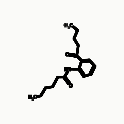 [CH2]CCCC(=O)c1ccccc1NC(=O)CCCCC